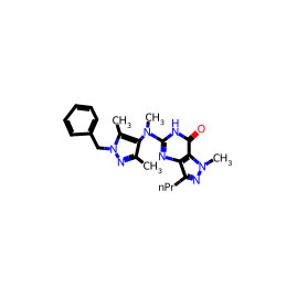 CCCc1nn(C)c2c(=O)[nH]c(N(C)c3c(C)nn(Cc4ccccc4)c3C)nc12